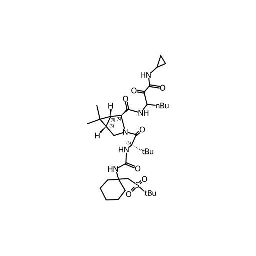 CCCCC(NC(=O)[C@@H]1[C@@H]2[C@H](CN1C(=O)[C@@H](NC(=O)NC1(CS(=O)(=O)C(C)(C)C)CCCCC1)C(C)(C)C)C2(C)C)C(=O)C(=O)NC1CC1